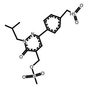 CC(C)Cn1nc(-c2ccc(C[SH](=O)=O)cc2)cc(COS(C)(=O)=O)c1=O